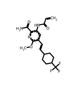 C=CC(=O)Nc1cc(C=CC2CCC(C(F)(F)F)CC2)c(OC)nc1C(N)=O